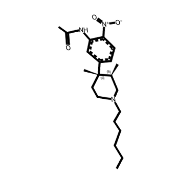 CCCCCCN1CC[C@](C)(c2ccc([N+](=O)[O-])c(NC(C)=O)c2)[C@@H](C)C1